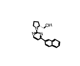 OC[C@H]1CCCN1c1nccc(-c2ccc3ccccc3c2)n1